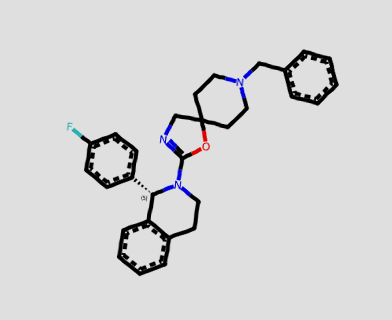 Fc1ccc([C@H]2c3ccccc3CCN2C2=NCC3(CCN(Cc4ccccc4)CC3)O2)cc1